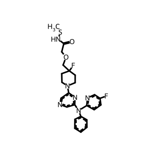 CSNC(=O)COCC1(F)CCN(c2cncc(N(c3ccccc3)c3ccc(F)cn3)n2)CC1